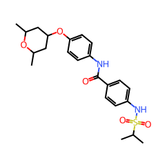 CC1CC(Oc2ccc(NC(=O)c3ccc(NS(=O)(=O)C(C)C)cc3)cc2)CC(C)O1